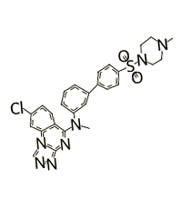 CN1CCN(S(=O)(=O)c2ccc(-c3cccc(N(C)c4nc5nncn5c5cc(Cl)ccc45)c3)cc2)CC1